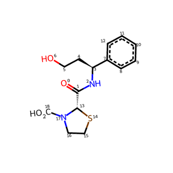 O=C(N[C@@H](CCO)c1ccccc1)[C@@H]1SCCN1C(=O)O